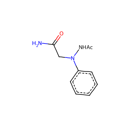 CC(=O)NN(CC(N)=O)c1ccccc1